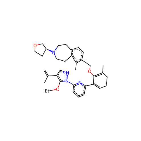 C=C(C)c1cnn(-c2cccc(C3=CCCC(C)=C3OCc3ccc4c(c3C)CCN([C@H]3CCOC3)CC4)n2)c1OCC